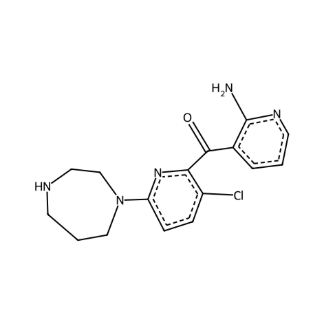 Nc1ncccc1C(=O)c1nc(N2CCCNCC2)ccc1Cl